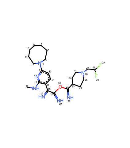 CNc1nc(N2CCCCCCC2)ccc1C(=N)C(=N)OC(=N)C1CCN(CC(F)F)CC1